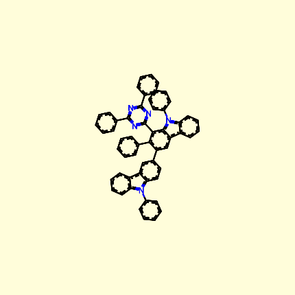 c1ccc(-c2nc(-c3ccccc3)nc(-c3c(-c4ccccc4)c(-c4ccc5c(c4)c4ccccc4n5-c4ccccc4)cc4c5ccccc5n(-c5ccccc5)c34)n2)cc1